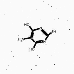 Nc1c(O)nc(S)nc1O